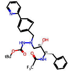 CC(C)(C)OC(=O)NN(Cc1ccc(-c2ccccn2)cc1)C[C@H](O)[C@H](Cc1ccccc1)NC(=O)C(F)(F)F